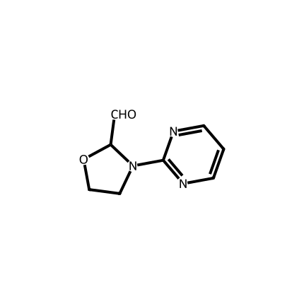 O=CC1OCCN1c1ncccn1